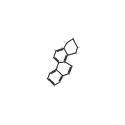 c1ccc2c(c1)ccc1c3c(ccc12)CCCC3